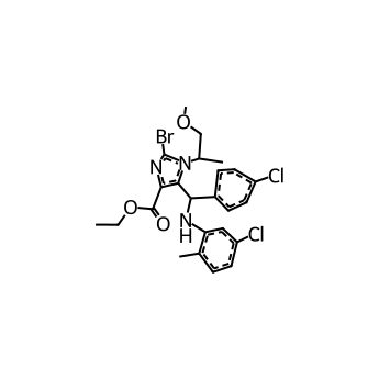 CCOC(=O)c1nc(Br)n(C(C)COC)c1C(Nc1cc(Cl)ccc1C)c1ccc(Cl)cc1